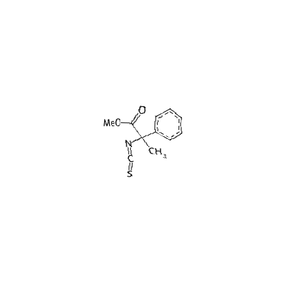 COC(=O)C(C)(N=C=S)c1ccccc1